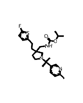 Cc1ccc(C(C)(C)N2CCC(CCc3ccc(F)s3)(CNC(=O)OC(C)C)C2)cn1